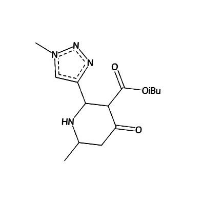 CC(C)COC(=O)C1C(=O)CC(C)NC1c1cn(C)nn1